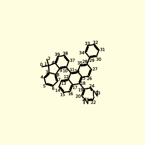 CC1(C)c2ccccc2-c2c(-c3c4ccccc4c(-c4cncnc4)c4ccc(-c5ccccc5)cc34)cccc21